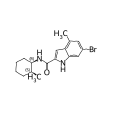 Cc1cc(Br)cc2[nH]c(C(=O)N[C@@H]3CCCC[C@@H]3C)cc12